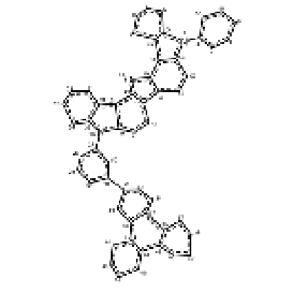 c1ccc(-n2c3ccccc3c3c4oc5c(ccc6c5c5ccccc5n6-c5cccc(-c6ccc7c8ccccc8c8ccccc8c7c6)c5)c4ccc32)cc1